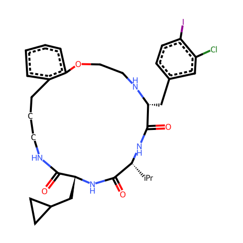 CC(C)[C@H]1NC(=O)[C@@H](Cc2ccc(I)c(Cl)c2)NCCOc2ccccc2CCCNC(=O)[C@H](CC2CC2)NC1=O